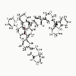 c1ccc(-c2ccccc2-c2ccccc2N(c2ccc(-c3cccc(-c4ccc5ccccc5c4)c3)cc2)c2ccc(-c3cccc(-n4c5ccccc5c5ccccc54)c3)cc2)cc1